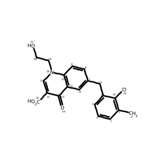 Cc1cccc(Cc2ccc3c(c2)c(=O)c(C(=O)O)cn3CCO)c1Cl